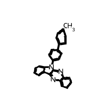 Cc1ccc(-c2ccc(-n3c4ccccc4c4nc5ccccc5nc43)cc2)cc1